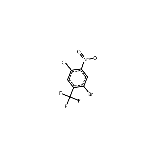 O=[N+]([O-])c1cc(Br)c(C(F)(F)F)cc1Cl